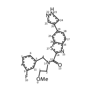 COCCN(Cc1cccc(F)c1)C(=O)c1nc2ccc(-c3cn[nH]c3)cc2s1